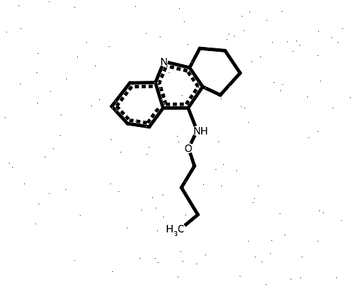 CCCCONc1c2c(nc3ccccc13)CCCC2